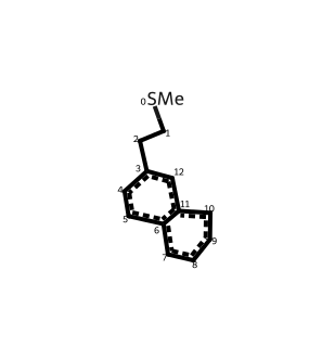 [CH2]SCCc1ccc2ccccc2c1